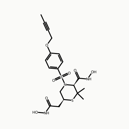 CC#CCOc1ccc(S(=O)(=O)N2C[C@H](CC(=O)NO)SC(C)(C)[C@@H]2C(=O)NO)cc1